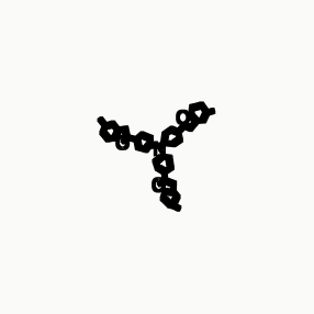 Cc1ccc2oc(-c3ccc(N(c4ccc(-c5cc6cc(C)ccc6o5)cc4)c4ccc(-c5cc6cc(C)ccc6o5)cc4)cc3)cc2c1